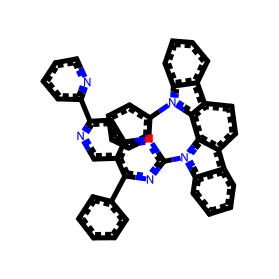 c1ccc(-c2nc(-n3c4ccccc4c4ccc5c6ccccc6n(-c6ccccc6)c5c43)nc3cc(-c4ccccn4)ncc23)cc1